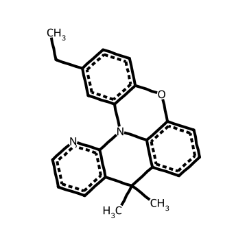 CCc1ccc2c(c1)N1c3ncccc3C(C)(C)c3cccc(c31)O2